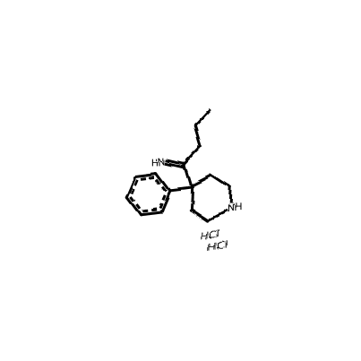 CCCC(=N)C1(c2ccccc2)CCNCC1.Cl.Cl